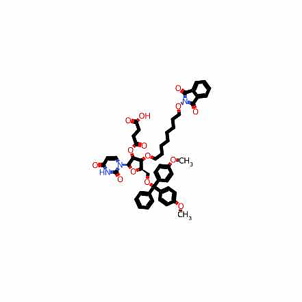 COc1ccc(C(OC[C@H]2O[C@@H](n3ccc(=O)[nH]c3=O)C(OC(=O)CCC(=O)O)C2OCCCCCCCCON2C(=O)c3ccccc3C2=O)(c2ccccc2)c2ccc(OC)cc2)cc1